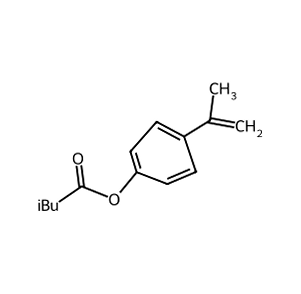 C=C(C)c1ccc(OC(=O)C(C)CC)cc1